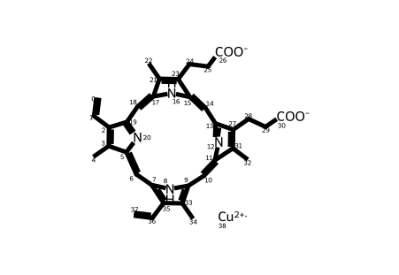 C=CC1=C(C)c2cc3[nH]c(cc4nc(cc5[nH]c(cc1n2)c(C)c5CCC(=O)[O-])C(CCC(=O)[O-])=C4C)c(C)c3C=C.[Cu+2]